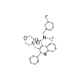 O=C(c1c(C[N+]2([O-])CCOCC2)c(-c2ccccc2)nc2ccccc12)N(Cc1cccc(F)c1)C1CC1